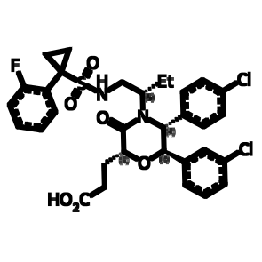 CC[C@@H](CNS(=O)(=O)C1(c2ccccc2F)CC1)N1C(=O)[C@@H](CCC(=O)O)O[C@H](c2cccc(Cl)c2)[C@H]1c1ccc(Cl)cc1